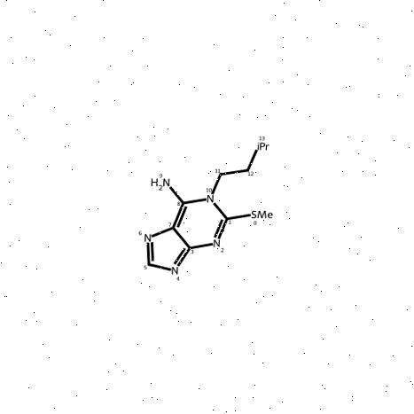 CSc1nc2ncnc-2c(N)n1CCC(C)C